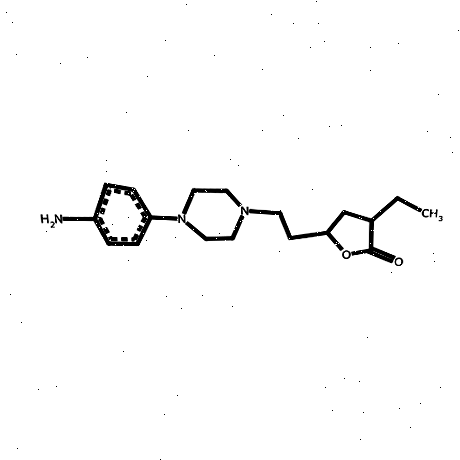 CCC1CC(CCN2CCN(c3ccc(N)cc3)CC2)OC1=O